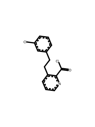 O=C(Cl)c1ncccc1CCc1cccc(Cl)c1